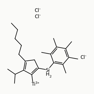 CCCCCC1=C(C(C)C)[C]([Ti+3])=C([SiH2]c2c(C)c(C)c(C)c(C)c2C)C1.[Cl-].[Cl-].[Cl-]